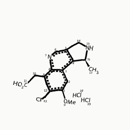 COc1cc2c3c(cnc2c(CC(=O)O)c1Cl)CN[C@H]3C.Cl.Cl